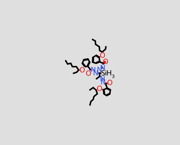 CCCCCC(CC)Oc1ccccc1C(=O)N=NC(C)C([SiH3])(N=NC(=O)c1ccccc1OC(CC)CCCCC)N=NC(=O)c1ccccc1OC(CC)CCCCC